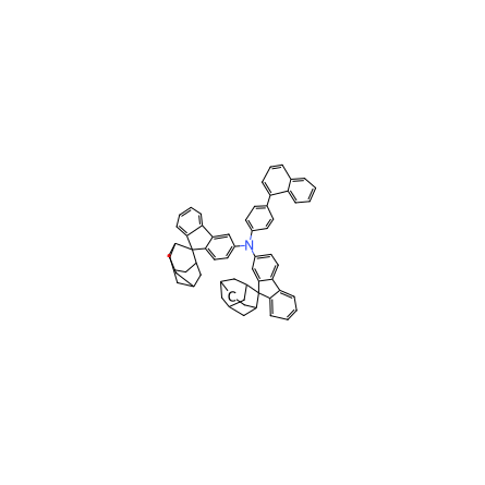 c1ccc2c(c1)-c1cc(N(c3ccc(-c4cccc5ccccc45)cc3)c3ccc4c(c3)C3(c5ccccc5-4)C4CCC5CC(C4)CC3C5)ccc1C21C2CCC3CC(C2)CC1C3